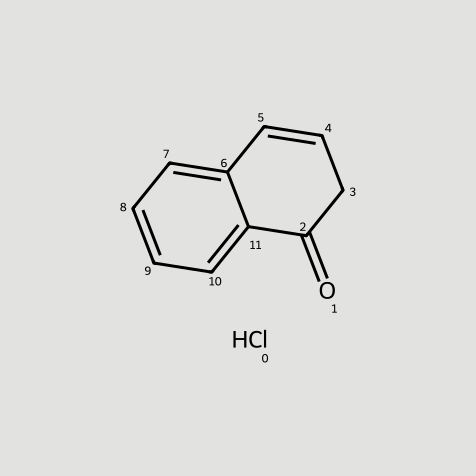 Cl.O=C1CC=Cc2ccccc21